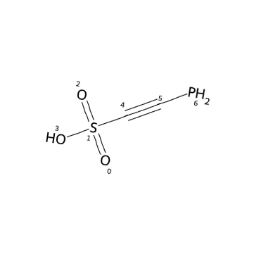 O=S(=O)(O)C#CP